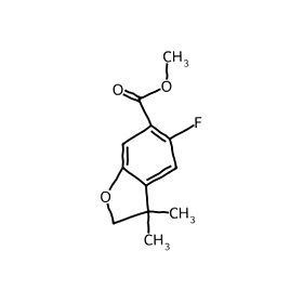 COC(=O)c1cc2c(cc1F)C(C)(C)CO2